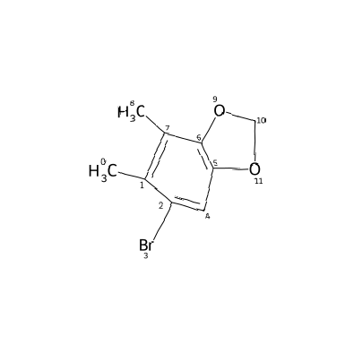 Cc1c(Br)cc2c(c1C)OCO2